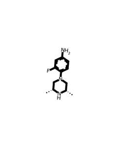 C[C@@H]1CN(c2ccc(N)cc2F)C[C@H](C)N1